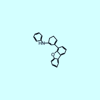 C1=C(Nc2ccccc2)CCC=C1c1cccc2c1oc1ccccc12